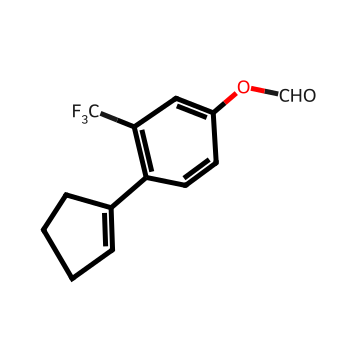 O=COc1ccc(C2=CCCC2)c(C(F)(F)F)c1